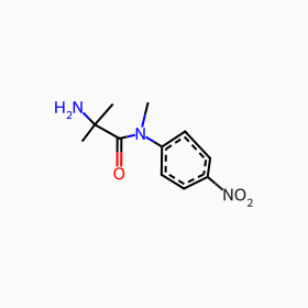 CN(C(=O)C(C)(C)N)c1ccc([N+](=O)[O-])cc1